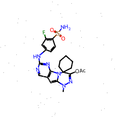 CC(=O)OC1=NN(C)c2cc3cnc(Nc4ccc(S(N)(=O)=O)c(F)c4)nc3n2C12CCCCC2